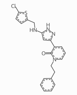 O=c1c(-c2cc(NCc3ccc(Cl)s3)[nH]n2)cccn1CCc1ccccc1